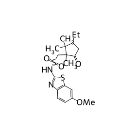 CCC1CC(=O)C(C)(CS(=O)(=O)Nc2nc3ccc(OC)cc3s2)C1(C)C